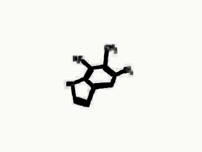 Cc1cc2cc[nH]c2c(C)c1C